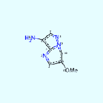 COc1cnc2c(N)cnn2c1